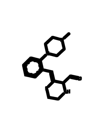 CN1CCN(c2ccccc2C=C2SCCNC2C=O)CC1